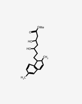 COC(=O)CC(O)CC(O)CCC1c2ccc(C)cc2C=CC1C